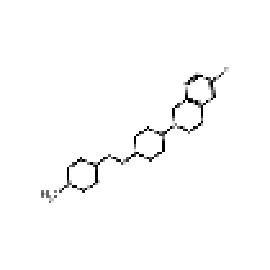 CC1CCC(CCC2CCC(C3CCc4cc(F)ccc4C3)CC2)CC1